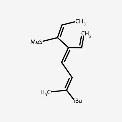 C=CC(=C\C=C(/C)C(C)CC)/C(=C\C)SC